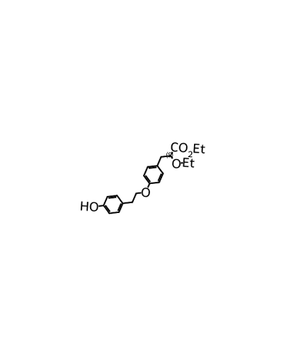 CCOC(=O)[C@H](Cc1ccc(OCCc2ccc(O)cc2)cc1)OCC